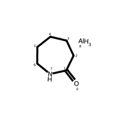 O=C1CCCCCN1.[AlH3]